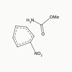 COC(N)=O.O=[N+]([O-])c1ccccc1